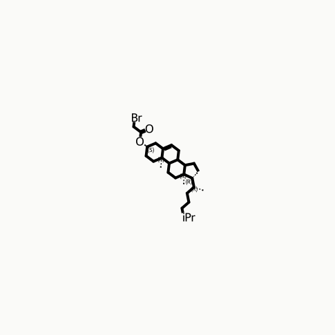 CC(C)CCC[C@@H](C)[C@H]1CCC2C3CC=C4C[C@@H](OC(=O)CBr)CC[C@]4(C)C3CC[C@@]21C